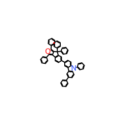 c1ccc(-c2ccc3c(c2)c2cc(-c4ccc5c(c4)C(c4ccccc4)(c4ccccc4)c4c(-c6ccccc6)oc(-c6ccccc6)c4-5)ccc2n3-c2ccccc2)cc1